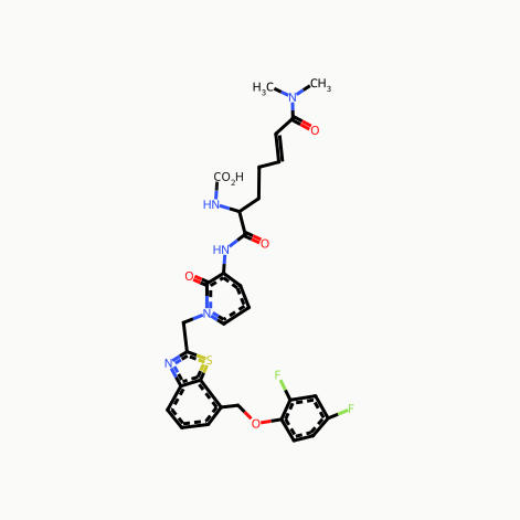 CN(C)C(=O)/C=C/CCC(NC(=O)O)C(=O)Nc1cccn(Cc2nc3cccc(COc4ccc(F)cc4F)c3s2)c1=O